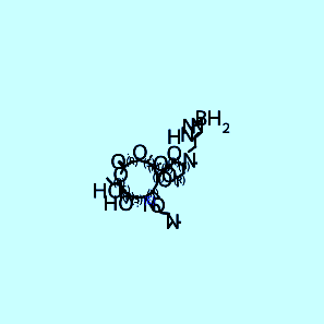 Bn1cc(CCN(C)[C@H]2C[C@@H](C)O[C@@H](O[C@@H]3[C@H](C)C(=O)[C@@H](C)C(=O)O[C@H](CC)[C@@](C)(O)[C@H](O)[C@@H](C)/C(=N/OCCN(C)C)[C@H](C)C[C@@]3(C)OC)[C@@H]2O)nn1